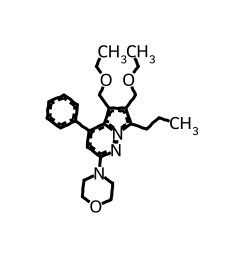 CCCc1c(COCC)c(COCC)c2c(-c3ccccc3)cc(N3CCOCC3)nn12